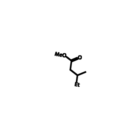 [CH2]OC(=O)CC(C)CC